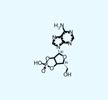 Nc1ncnc2c1ncn2[C@@H]1O[C@H](CO)C2OP(=O)(O)OC21